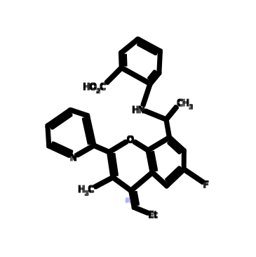 CC/C=C1/C(C)=C(c2ccccn2)Oc2c1cc(F)cc2C(C)Nc1ccccc1C(=O)O